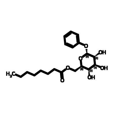 CCCCCCCC(=O)OC[C@H]1O[C@H](Oc2ccccc2)[C@H](O)[C@@H](O)[C@@H]1O